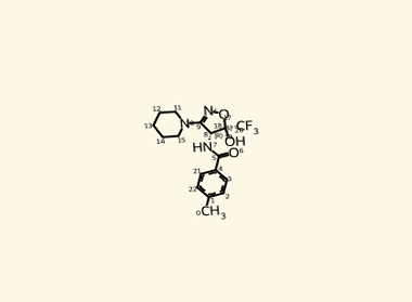 Cc1ccc(C(=O)N[C@@H]2C(N3CCCCC3)=NO[C@]2(O)C(F)(F)F)cc1